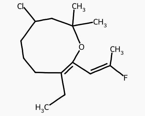 CC/C1=C(\C=C(/C)F)OC(C)(C)CC(Cl)CCC1